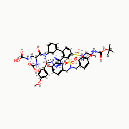 COc1ccc(CN(Cc2ccc(OC)cc2)S(=O)(=O)c2c(S(=O)(=O)NCCNC(=O)OC(C)(C)C)ccc(-c3cccc(NC(=O)[C@H](CNC(=O)O)NC(=O)O)c3)c2-c2nnn(Cc3ccc(OC)cc3)n2)cc1